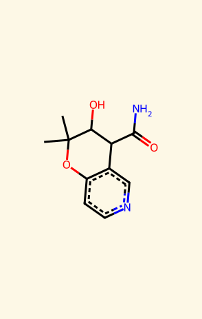 CC1(C)Oc2ccncc2C(C(N)=O)C1O